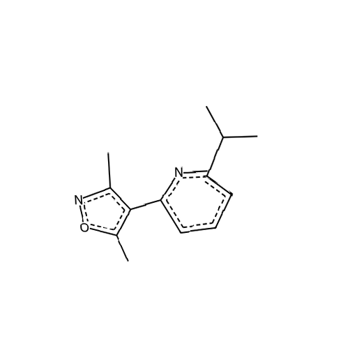 Cc1noc(C)c1-c1cccc(C(C)C)n1